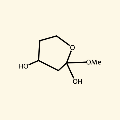 COC1(O)CC(O)CCO1